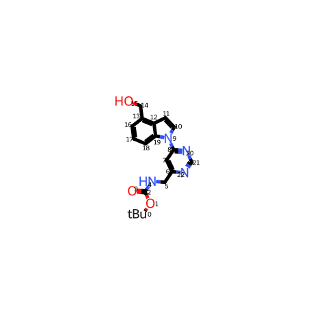 CC(C)(C)OC(=O)NCc1cc(-n2ccc3c(CO)cccc32)ncn1